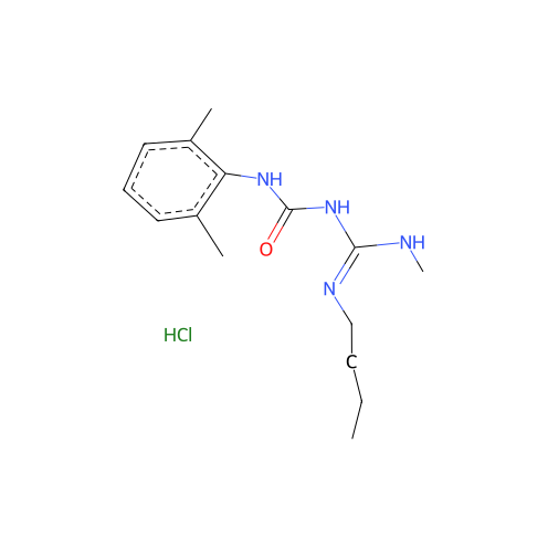 CCCCN=C(NC)NC(=O)Nc1c(C)cccc1C.Cl